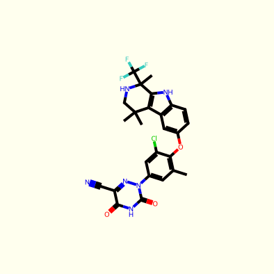 Cc1cc(-n2nc(C#N)c(=O)[nH]c2=O)cc(Cl)c1Oc1ccc2[nH]c3c(c2c1)C(C)(C)CNC3(C)C(F)(F)F